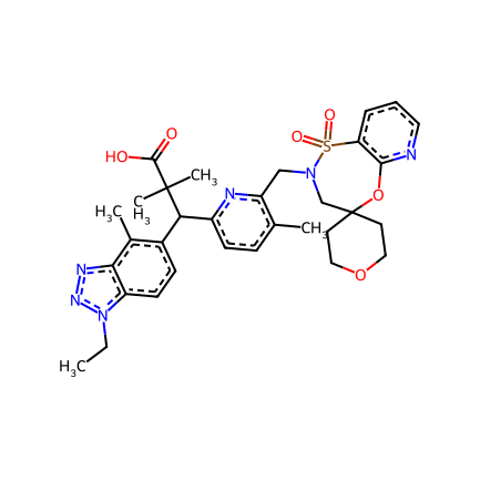 CCn1nnc2c(C)c(C(c3ccc(C)c(CN4CC5(CCOCC5)Oc5ncccc5S4(=O)=O)n3)C(C)(C)C(=O)O)ccc21